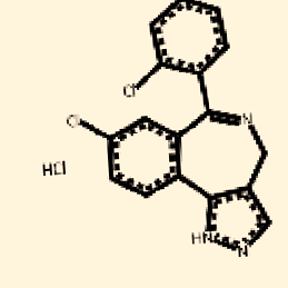 Cl.Clc1ccc2c(c1)C(c1ccccc1Cl)=NCc1cn[nH]c1-2